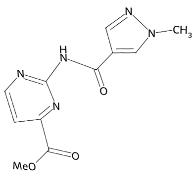 COC(=O)c1ccnc(NC(=O)c2cnn(C)c2)n1